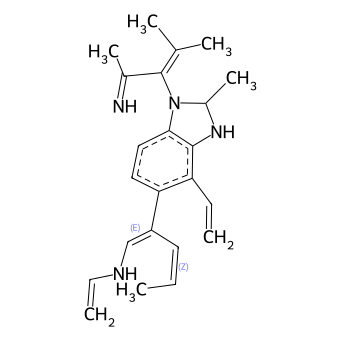 C=CN/C=C(\C=C/C)c1ccc2c(c1C=C)NC(C)N2C(C(C)=N)=C(C)C